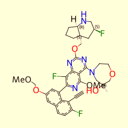 C#Cc1c(F)ccc2cc(OCOC)cc(-c3nc(OC)c4c(N5CCOC[C@@](C)(O)C5)nc(OC[C@]56CCC[C@H]5NC[C@@H](F)C6)nc4c3F)c12